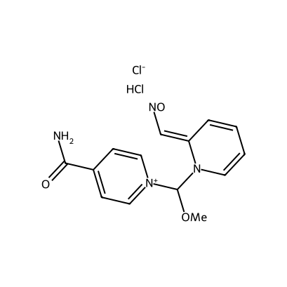 COC(N1C=CC=C/C1=C\N=O)[n+]1ccc(C(N)=O)cc1.Cl.[Cl-]